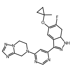 CC1(OC2=C(F)CC3NN=C(c4cc(N5CCn6ncnc6C5)ncn4)C3=C2)CC1